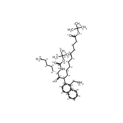 CC(C)(C)OC(=O)CCCCCCCCCC(C(=O)[C@H](CCCCN)NC(=O)OC(C)(C)C)c1ccc2ccccc2c1CN